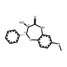 COc1ccc2c(c1)NC(=O)[C@H](O)[C@@H](c1ccccc1)O2